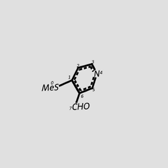 CSc1ccncc1C=O